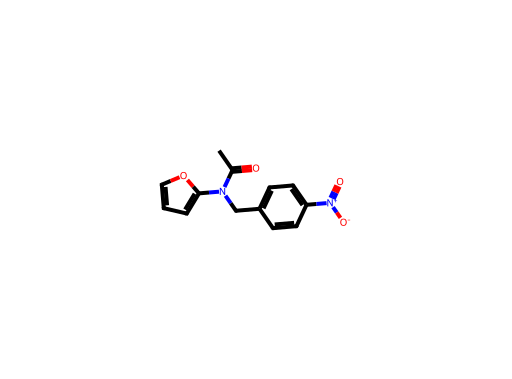 CC(=O)N(Cc1ccc([N+](=O)[O-])cc1)c1ccco1